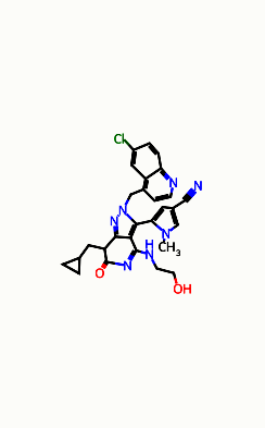 Cn1cc(C#N)cc1-c1c2c(nn1Cc1ccnc3ccc(Cl)cc13)C(CC1CC1)C(=O)N=C2NCCO